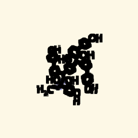 C=C/C=C(\C=C(/O)C(c1ccc(C(c2cc(-c3ccc(O)cc3)ccc2O)c2cc(-c3ccc(O)cc3)ccc2O)cc1)c1cc(-c2ccc(O)cc2)ccc1O)c1ccc(O)cc1